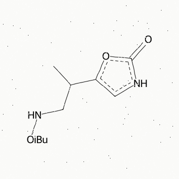 CC(C)CONCC(C)c1c[nH]c(=O)o1